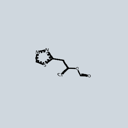 O=COC(Cl)Cc1nncs1